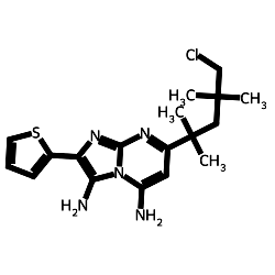 CC(C)(CCl)CC(C)(C)c1cc(N)n2c(N)c(-c3cccs3)nc2n1